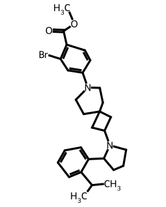 COC(=O)c1ccc(N2CCC3(CC2)CC(N2CCCC2c2ccccc2C(C)C)C3)cc1Br